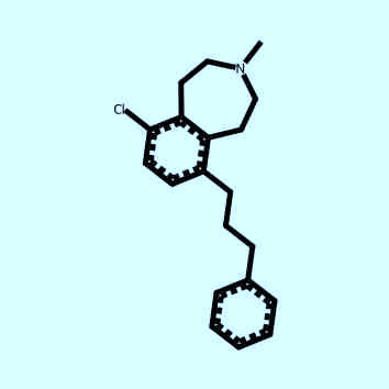 CN1CCc2c(Cl)ccc(CCCc3ccccc3)c2CC1